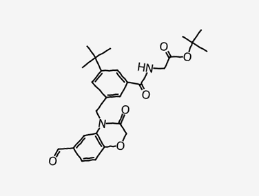 CC(C)(C)OC(=O)CNC(=O)c1cc(CN2C(=O)COc3ccc(C=O)cc32)cc(C(C)(C)C)c1